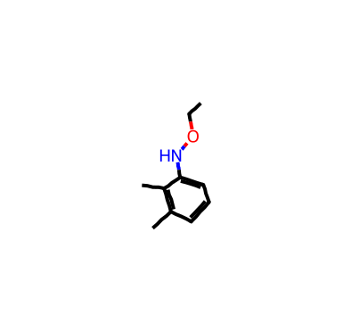 CCONc1cccc(C)c1C